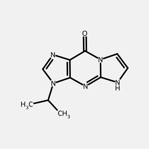 CC(C)n1cnc2c(=O)n3cc[nH]c3nc21